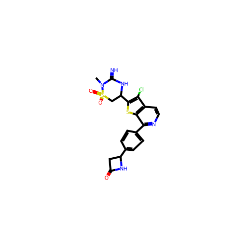 CN1C(=N)NC(c2sc3c(-c4ccc(C5CC(=O)N5)cc4)nccc3c2Cl)CS1(=O)=O